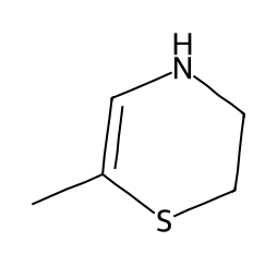 CC1=CNCCS1